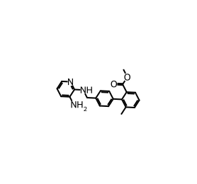 COC(=O)c1cccc(C)c1-c1ccc(CNc2ncccc2N)cc1